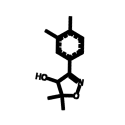 Cc1ccc(C2=NOC(C)(C)C2O)cc1C